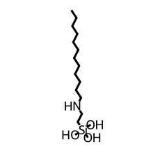 CCCCCCCCCCCCNCC[Si](O)(O)O